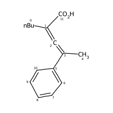 CCCCC(=C=C(C)c1ccccc1)C(=O)O